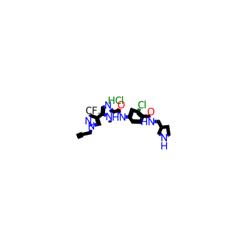 C#CCn1cc(-c2cnc(C(=O)Nc3ccc(C(=O)NCC4CCNC4)c(Cl)c3)n2C)c(C(F)(F)F)n1.Cl